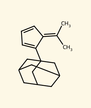 CC(C)=C1C=CC=C1C12CC3CC(CC(C3)C1)C2